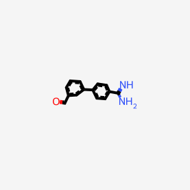 N=C(N)c1ccc(-c2cccc(C=O)c2)cc1